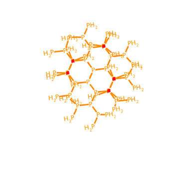 PP(P)P(P)P(P(P)P)P(P(P(P(P)P)P(P)P)P(P(P)P)P(P)P)P(P(P(P(P)P)P(P)P)P(P(P)P)P(P)P)P(P(P(P)P)P(P)P)P(P(P)P)P(P)P